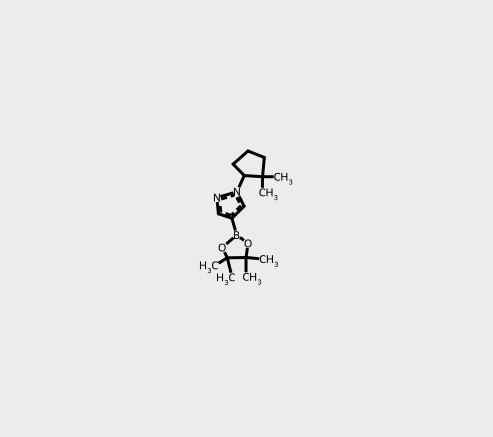 CC1(C)CCCC1n1cc(B2OC(C)(C)C(C)(C)O2)cn1